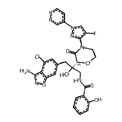 Nc1noc2cc(CC(O)(CNC(=O)c3ccccc3O)[C@H]3OCCN(c4nn(-c5ccnnc5)cc4F)C3=O)cc(Cl)c12